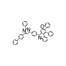 c1ccc(-c2ccc(-c3cc(-c4ccc(-c5nc6ccccc6c6c(-c7ccccc7)c7c(cc56)oc5ccccc57)cc4)nc(-c4ccccc4)n3)cc2)cc1